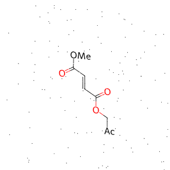 COC(=O)/C=C/C(=O)OCC(C)=O